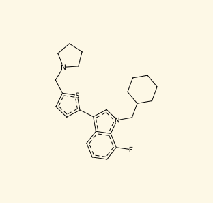 Fc1cccc2c(-c3ccc(CN4CCCC4)s3)cn(CC3CCCCC3)c12